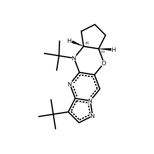 CC(C)(C)c1cnn2cc3c(nc12)N(C(C)(C)C)[C@@H]1CCC[C@@H]1O3